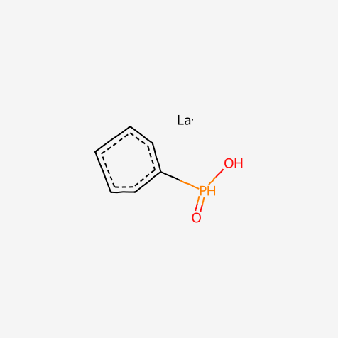 O=[PH](O)c1ccccc1.[La]